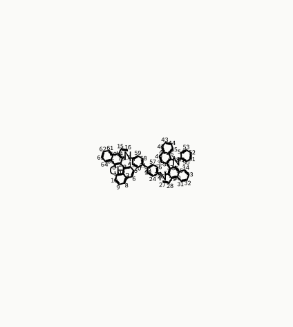 Cc1c(-c2cccc3ccccc23)c2c(ccn2-c2ccc(-c3ccc(-n4ccc5c6ccccc6c6c(c7ccc8ccccc8c7n6-c6ccccc6)c54)cc3)cc2)c2ccccc12